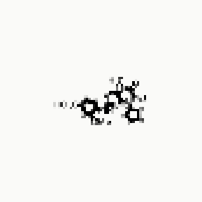 CC[C@@H]1C(=O)N(C)c2cnc(Nc3ccc(C(=O)O)cc3OC)nc2N1C1CCCC1